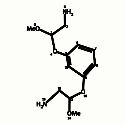 COC(CN)Oc1cccc(OC(CN)OC)c1